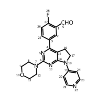 O=Cc1cc(-c2nc(N3CCOCC3)nc3c2CCN3c2ccncc2)ccc1F